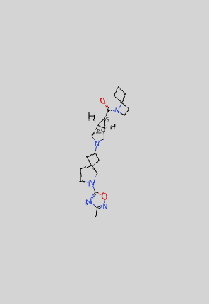 Cc1noc(N2CCC3(CC(N4C[C@@H]5[C@H](C4)[C@@H]5C(=O)N4CCC45CCC5)C3)C2)n1